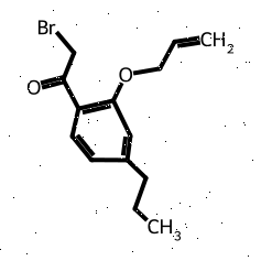 C=CCOc1cc(CCC)ccc1C(=O)CBr